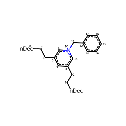 CCCCCCCCCCCCc1cc(CCCCCCCCCCCC)c[n+](Cc2ccccc2)c1